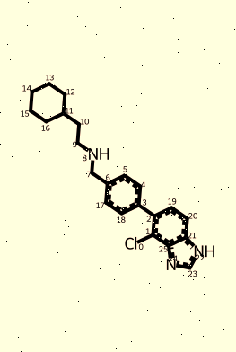 Clc1c(-c2ccc(CNCCC3CCCCC3)cc2)ccc2[nH]cnc12